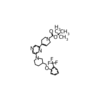 CC(C)(C)OC(=O)N1CC=C(c2cncc(N3CCCC(COc4ccccc4C(F)(F)F)C3)n2)CC1